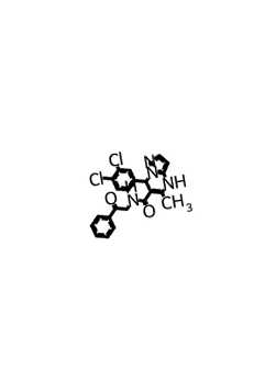 CC1=C(C(=O)NCC(=O)c2ccccc2)C(c2ccc(Cl)c(Cl)c2)n2nccc2N1